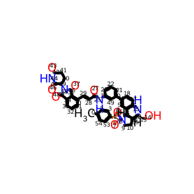 Cc1ccc(S(=O)(=O)N2CC[C@@H]3[C@H](CO)Nc4ccc(-c5cccc(NC(=O)C=Cc6cccc7c6C(=O)N(C6CCC(=O)NC6=O)C7=O)c5)cc4[C@@H]32)cc1